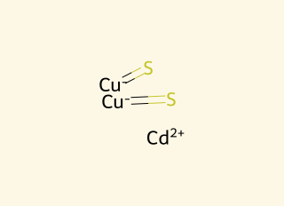 [Cd+2].[S]=[Cu-].[S]=[Cu-]